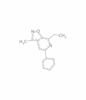 CCc1nc(-c2ccccc2)cc2c(C)noc12